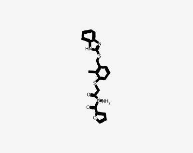 Cc1c(CSc2nc3ccccc3[nH]2)cccc1SCC(=O)N(N)C(=O)c1ccco1